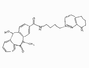 CC(=O)OC1c2ccccc2C(=O)N(C)c2cc(C(=O)NCCCCc3ccc4c(n3)NCCC4)ccc21